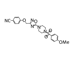 COc1ccc(S(=O)(=O)N2CCN(c3nc(COc4ccc(C#N)cc4)no3)CC2)cc1